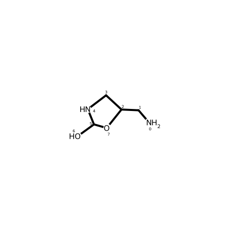 NCC1CNC(O)O1